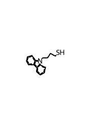 SCCCCn1c2ccccc2c2ccccc21